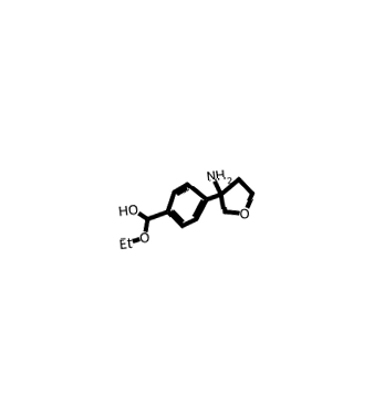 CCOC(O)c1ccc(C2(N)CCOC2)cc1